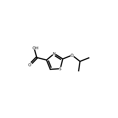 CC(C)Oc1nc(C(=O)O)cs1